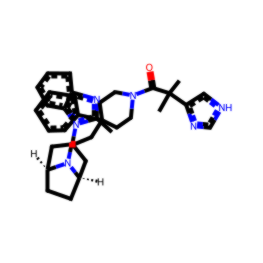 Cc1nc2ccccc2n1C1C[C@H]2CC[C@@H](C1)N2CCC1(c2ccccc2)CCN(C(=O)C(C)(C)c2c[nH]cn2)CC1